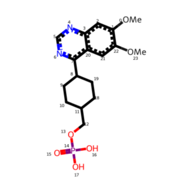 COc1cc2ncnc(C3CCC(COP(=O)(O)O)CC3)c2cc1OC